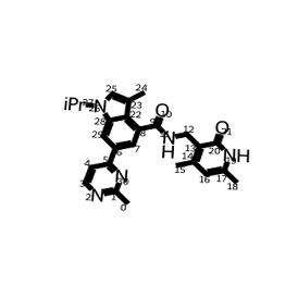 Cc1nccc(-c2cc(C(=O)NCc3c(C)cc(C)[nH]c3=O)c3c(C)cn(C(C)C)c3c2)n1